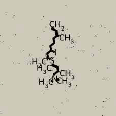 C=C/C=C(/C)CCCC(I)CC(=C)S/C(C)=C/[C@H](C)CN(C)C